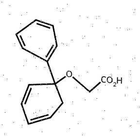 O=C(O)COC1(c2ccccc2)C=CC=CC1